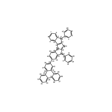 c1ccc(-n2c3ccccc3c3c2nc2n(-c4ccccc4)c4cc(-c5ccc6c7ccccc7c7ccccc7c6c5)ccc4n32)cc1